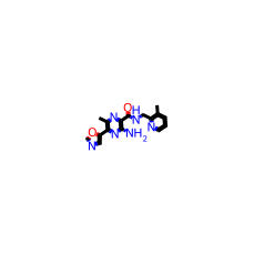 Cc1cccnc1CNC(=O)c1nc(C)c(-c2cnco2)nc1N